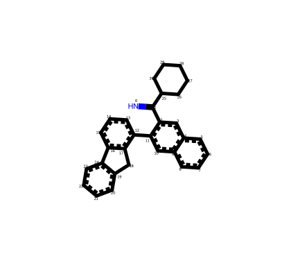 N=C(c1cc2ccccc2cc1-c1cccc2c1Cc1ccccc1-2)C1CCCCC1